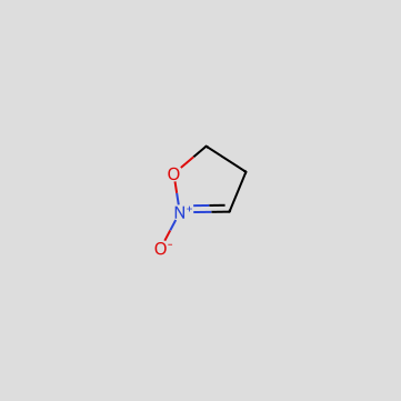 [O-][N+]1=CCCO1